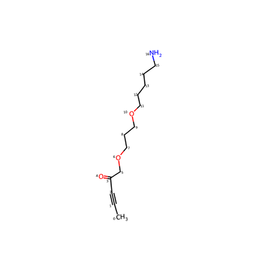 CC#CC(=O)COCCCOCCCCCN